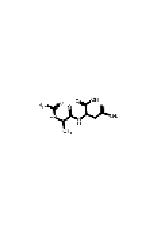 CC(=O)NC(C)C(=O)NC(CC(N)=O)C(=O)O